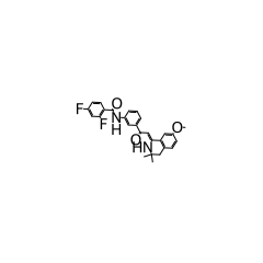 COc1ccc2c(c1)/C(=C/C(=O)c1cccc(NC(=O)c3ccc(F)cc3F)c1)NC(C)(C)C2